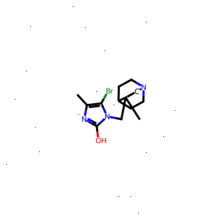 Cc1nc(O)n(CC2(C)CN3CCC2CC3)c1Br